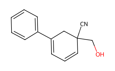 N#CC1(CO)C=CC=C(c2ccccc2)C1